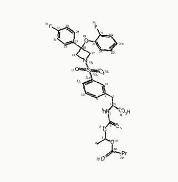 CC(OC(=O)N[C@@H](Cc1cccc(S(=O)(=O)N2CC(Oc3ccccc3F)(c3ccc(F)cc3)C2)c1)C(=O)O)OC(=O)C(C)C